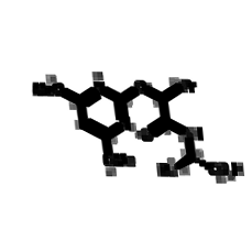 CC[C@H](C)[C@H](NC(=O)C(Oc1nc(OC)cc(OC)n1)C(C)C)C(=O)O